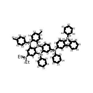 CCN(CC)c1cc2c3c(c1)N(c1ccccc1)c1cc(N(c4ccccc4)c4ccc5c(c4)c4ccccc4n5-c4ccccc4)ccc1B3c1cc(C)ccc1N2c1ccc(C)cc1